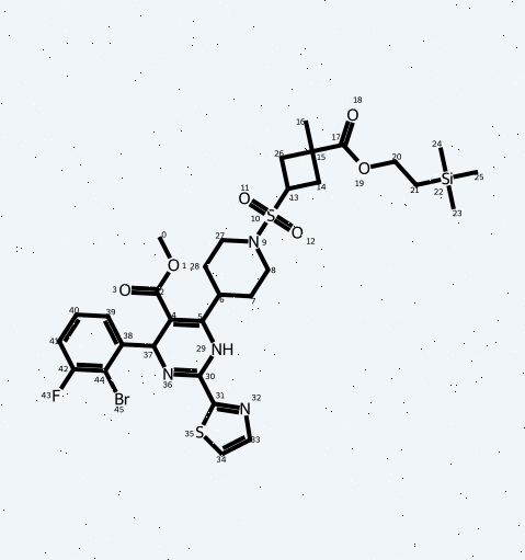 COC(=O)C1=C(C2CCN(S(=O)(=O)C3CC(C)(C(=O)OCC[Si](C)(C)C)C3)CC2)NC(c2nccs2)=NC1c1cccc(F)c1Br